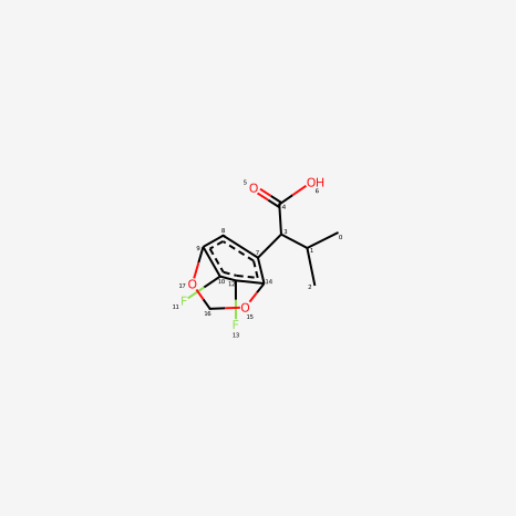 CC(C)C(C(=O)O)c1cc2c(F)c(F)c1OCO2